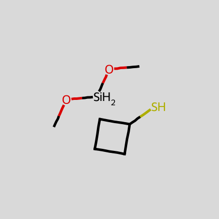 CO[SiH2]OC.SC1CCC1